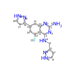 Nc1nc(NCc2cc[nH]n2)c2c(F)cc(-c3cc[nH]n3)cc2n1